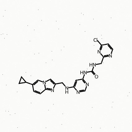 O=C(NCc1nccc(Cl)n1)Nc1cc(NCc2cn3cc(C4CC4)ccc3n2)ncn1